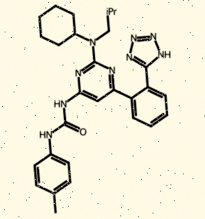 Cc1ccc(NC(=O)Nc2cc(-c3ccccc3-c3nnn[nH]3)nc(N(CC(C)C)C3CCCCC3)n2)cc1